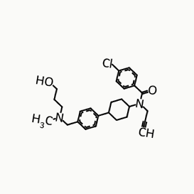 C#CCN(C(=O)c1ccc(Cl)cc1)C1CCC(c2ccc(CN(C)CCCO)cc2)CC1